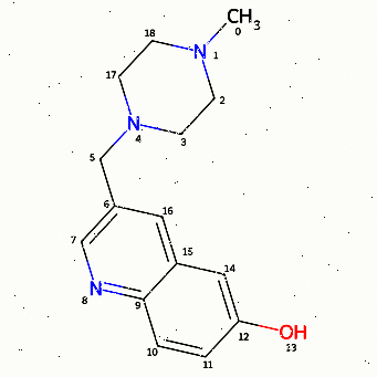 CN1CCN(Cc2cnc3ccc(O)cc3c2)CC1